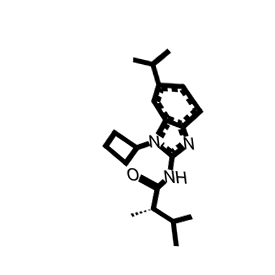 CC(C)c1ccc2nc(NC(=O)[C@@H](C)C(C)C)n(C3CCC3)c2c1